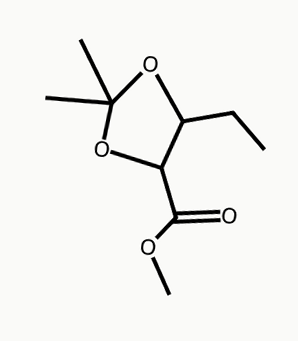 CCC1OC(C)(C)OC1C(=O)OC